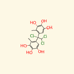 Cc1c(C(Cl)(c2cc(O)c(O)c(O)c2C)C(Cl)Cl)cc(O)c(O)c1O